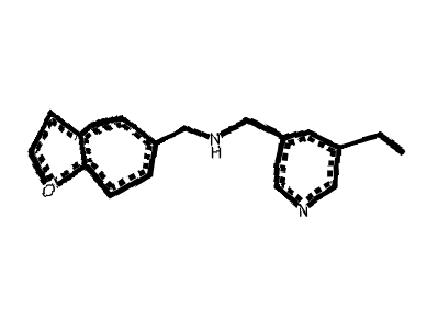 CCc1cncc(CNCc2ccc3occc3c2)c1